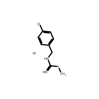 CSC(=N)NCc1ccc(Cl)cc1.I